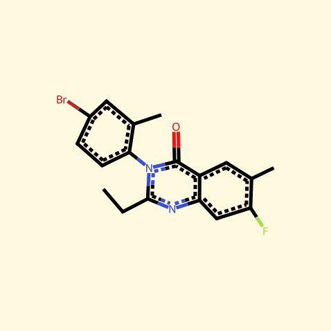 CCc1nc2cc(F)c(C)cc2c(=O)n1-c1ccc(Br)cc1C